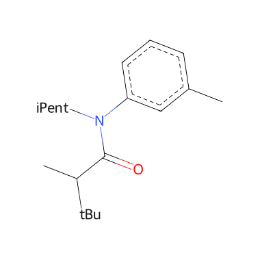 CCCC(C)N(C(=O)C(C)C(C)(C)C)c1cccc(C)c1